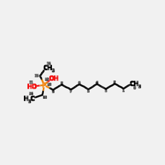 CCCCCCCCCCP(O)(O)(CC)CC